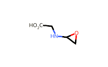 O=C(O)CNC1CO1